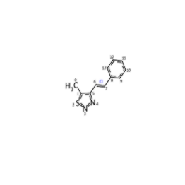 Cc1snnc1/C=C/c1ccccc1